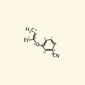 CC=C(CC)Oc1cccc(C#N)c1